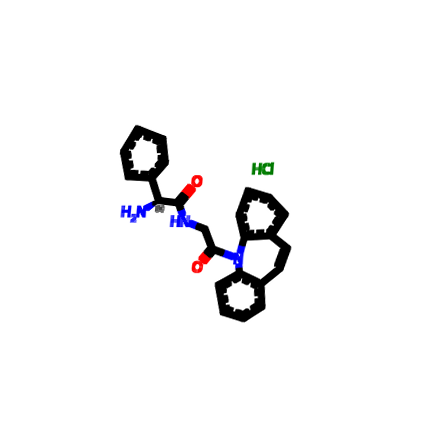 Cl.N[C@H](C(=O)NCC(=O)N1c2ccccc2C=Cc2ccccc21)c1ccccc1